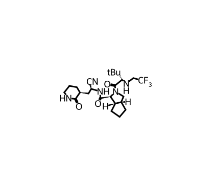 CC(C)(C)[C@H](NCC(F)(F)F)C(=O)N1C[C@@H]2CCC[C@@H]2[C@H]1C(=O)N[C@H](C#N)C[C@@H]1CCCNC1=O